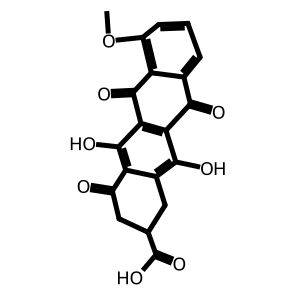 COc1cccc2c1C(=O)c1c(O)c3c(c(O)c1C2=O)CC(C(=O)O)CC3=O